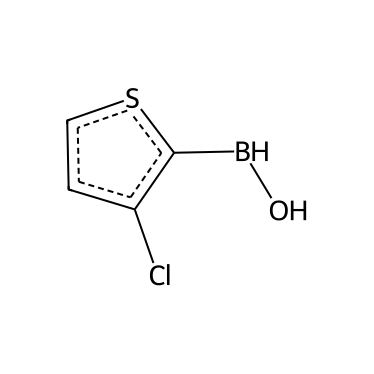 OBc1sccc1Cl